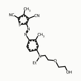 CCN(CCOCCO)c1ccc(/N=N/c2sc(C#N)c(C)c2C#N)c(C)c1